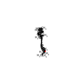 COc1cc([C@@H]2c3cc4c(cc3[C@@H](O[C@@H]3O[C@@H]5CO[C@@H](C)O[C@H]5C(O)C3O)[C@H]3COC(=O)[C@H]23)OCO4)cc(OC)c1OC(=O)OCCSSCCOC(=O)OC1CC[C@@]2(C)C(=CC[C@H]3[C@@H]4CC[C@H]([C@H](C)CCCC(C)C)[C@@]4(C)CC[C@@H]32)C1